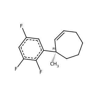 C[C@]1(c2cc(F)cc(F)c2F)C=CCCCC1